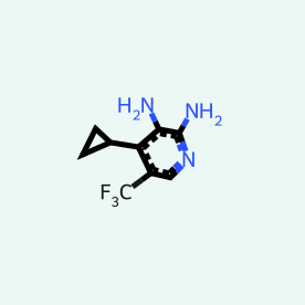 Nc1ncc(C(F)(F)F)c(C2CC2)c1N